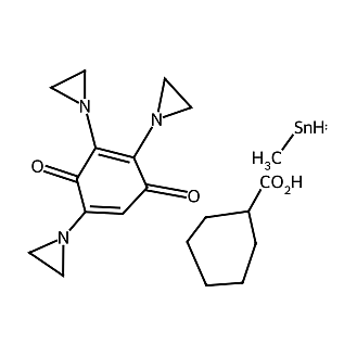 O=C(O)C1CCCCC1.O=C1C=C(N2CC2)C(=O)C(N2CC2)=C1N1CC1.[CH3][SnH]